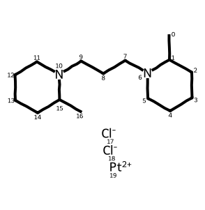 CC1CCCCN1CCCN1CCCCC1C.[Cl-].[Cl-].[Pt+2]